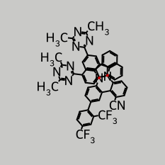 Cc1nc(C)nc(-c2ccc3c(c2)c2ccccc2n3-c2ccc(-c3ccc(C(F)(F)F)cc3C(F)(F)F)cc2-c2c(C#N)cccc2-n2c3ccccc3c3cc(-c4nc(C)nc(C)n4)ccc32)n1